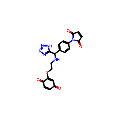 O=C1C=CC(=O)C(SCCNC(c2ccc(N3C(=O)C=CC3=O)cc2)c2nnn[nH]2)=C1